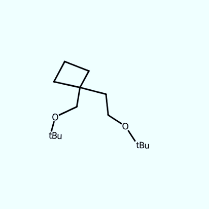 CC(C)(C)OCCC1(COC(C)(C)C)CCC1